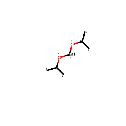 CC(C)[O][InH][O]C(C)C